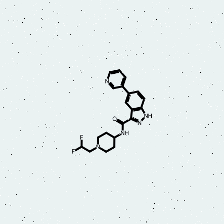 O=C(NC1CCN(CC(F)F)CC1)c1n[nH]c2ccc(-c3cccnc3)cc12